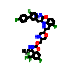 C[C@@H](NC(=O)OC[C@@H]1CO[C@H](CCc2c(F)cccc2N[C@@H](Cc2ccc(F)c(-c3ccc(F)cc3)c2)C(N)=O)CN1)c1ccc(F)cc1C(F)(F)F